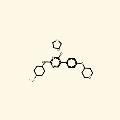 C[C@H]1CC[C@@H](Nc2ncc(-c3ccc(OC4CCOCC4)cc3)c(O[C@@H]3CCOC3)n2)CC1